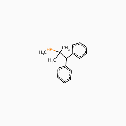 CPC(C)(C)C(c1ccccc1)c1ccccc1